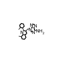 Cc1ccccc1-c1nc2c(C)cccc2cc1Cn1cnc(N)c2ncnc1-2